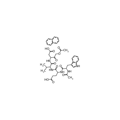 CC(=O)NC(Cc1c[nH]c2ccccc12)C(=O)NC(CCC(=O)O)C(=O)NC(C(=O)NC(CC(=O)O)C(=O)COC(C)=O)C(C)C.c1ccc2ccccc2c1